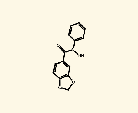 NN(C(=O)c1ccc2c(c1)OCO2)c1ccccc1